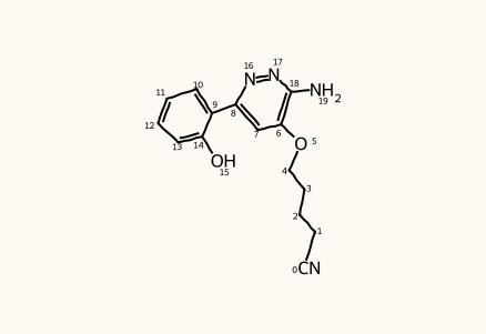 N#CCCCCOc1cc(-c2ccccc2O)nnc1N